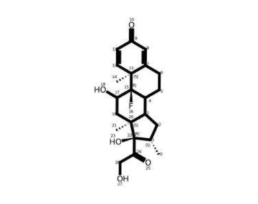 C[C@H]1CC2C3CCC4=CC(=O)C=C[C@]4(C)[C@@]3(F)C(O)C[C@]2(C)[C@@]1(O)C(=O)CO